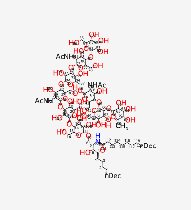 CCCCCCCCCCCCC/C=C/[C@@H](O)[C@H](CO[C@@H]1OC(CO)[C@@H](O[C@@H]2OC(CO)[C@H](O)[C@H](O[C@@H]3OC(CO)[C@@H](O[C@@H]4OC(CO[C@@H]5OC(CO)[C@@H](O[C@@H]6OC(CO)[C@H](O)[C@H](O)C6O[C@H]6OC(C)[C@@H](O)C(O)[C@@H]6O)[C@H](O)C5NC(C)=O)[C@H](O)[C@H](O[C@@H]5OC(CO)[C@@H](O[C@@H]6OC(CO)[C@H](O)[C@H](O)C6O)[C@H](O)C5NC(C)=O)C4O)[C@H](O)C3NC(C)=O)C2O)[C@H](O)C1O)NC(=O)CCCCCCCCCCCCCCCCC